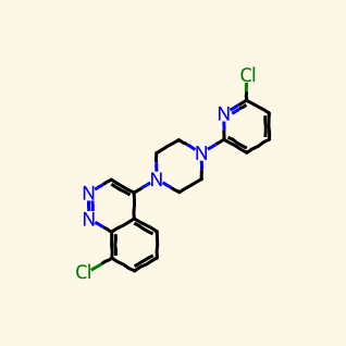 Clc1cccc(N2CCN(c3cnnc4c(Cl)cccc34)CC2)n1